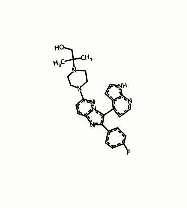 CC(C)(CO)N1CCN(c2ccc3nc(-c4ccc(F)cc4)c(-c4ccnc5[nH]ccc45)n3n2)CC1